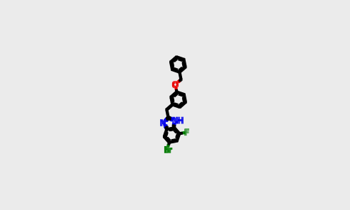 Fc1cc(Br)cc2nc(Cc3cccc(OCc4ccccc4)c3)[nH]c12